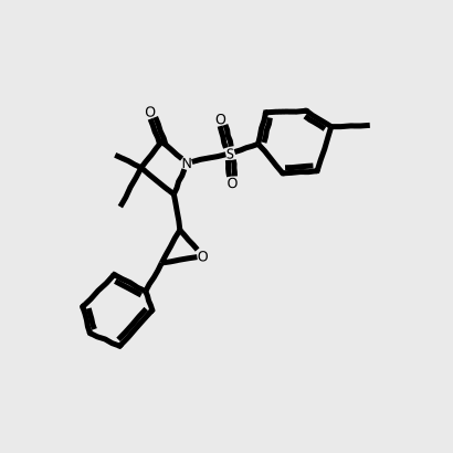 Cc1ccc(S(=O)(=O)N2C(=O)C(C)(C)C2C2OC2c2ccccc2)cc1